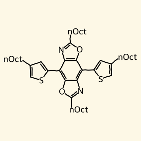 CCCCCCCCc1csc(-c2c3nc(CCCCCCCC)oc3c(-c3cc(CCCCCCCC)cs3)c3nc(CCCCCCCC)oc23)c1